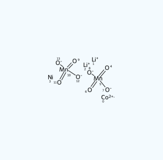 [Co+2].[Li+].[Li+].[Ni].[O]=[Mn](=[O])([O-])[O-].[O]=[Mn](=[O])([O-])[O-]